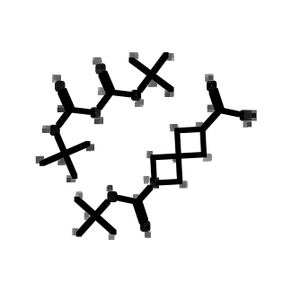 CC(C)(C)OC(=O)N1CC2(CC(C(=O)O)C2)C1.CC(C)(C)OC(=O)OC(=O)OC(C)(C)C